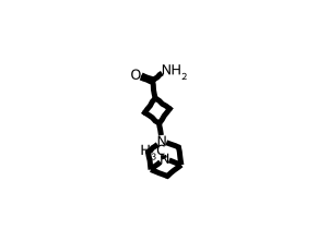 CN1C2CC1CN(C1CC(C(N)=O)C1)C2